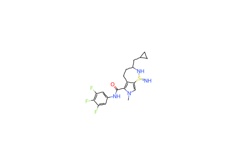 Cn1cc2c(c1C(=O)Nc1cc(F)c(F)c(F)c1)CCC(CC1CC1)NS2=N